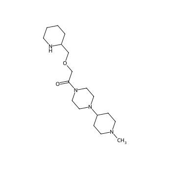 CN1CCC(N2CCN(C(=O)COCC3CCCCN3)CC2)CC1